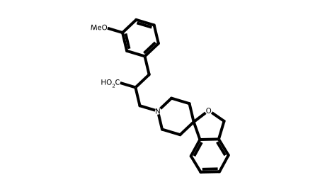 COc1cccc(CC(CN2CCC3(CC2)OCc2ccccc23)C(=O)O)c1